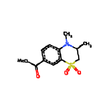 COC(=O)c1ccc2c(c1)S(=O)(=O)CC(C)N2C